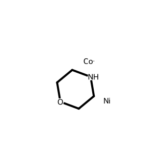 C1COCCN1.[Co].[Ni]